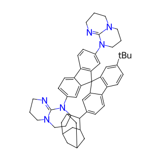 CC(C)(C)c1ccc2c(c1)C1(c3cc(C4C5CC6CC(C5)CC4C6)ccc3-2)c2cc(N3CCCN4CCCN=C43)ccc2-c2ccc(N3CCCN4CCCN=C43)cc21